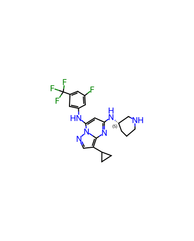 Fc1cc(Nc2cc(N[C@H]3CCCNC3)nc3c(C4CC4)cnn23)cc(C(F)(F)F)c1